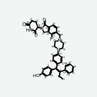 CCC(=C(c1ccc(O)cc1)c1ccc(N2CCN(Cc3ccc4c(c3F)CN(C3CCC(=O)NC3=O)C4=O)CC2)cc1)c1ccccc1